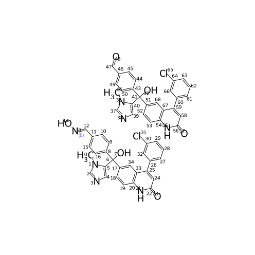 Cn1cncc1C(O)(c1ccc(/C=N/O)cc1)c1ccc2[nH]c(=O)cc(-c3cccc(Cl)c3)c2c1.Cn1cncc1C(O)(c1ccc(C=O)cc1)c1ccc2[nH]c(=O)cc(-c3cccc(Cl)c3)c2c1